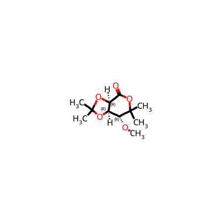 CO[C@@H]1[C@H]2OC(C)(C)O[C@H]2C(=O)OC1(C)C